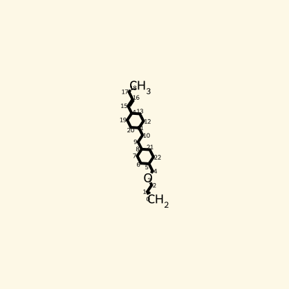 C=CCOCC1CCC(CCC2CCC(C=CCC)CC2)CC1